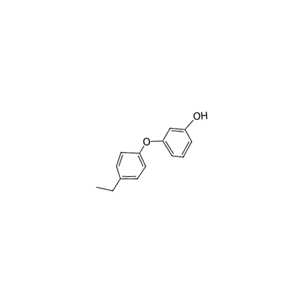 CCc1ccc(Oc2cccc(O)c2)cc1